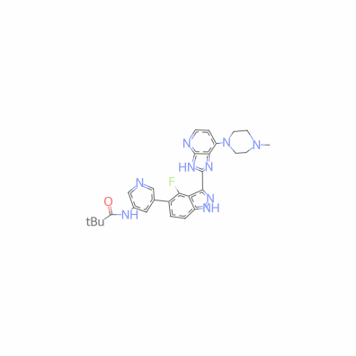 CN1CCN(c2ccnc3[nH]c(-c4n[nH]c5ccc(-c6cncc(NC(=O)C(C)(C)C)c6)c(F)c45)nc23)CC1